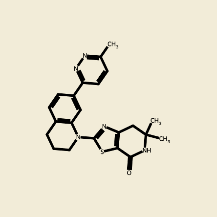 Cc1ccc(-c2ccc3c(c2)N(c2nc4c(s2)C(=O)NC(C)(C)C4)CCC3)nn1